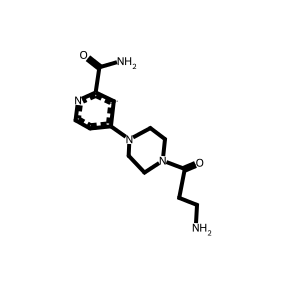 NCCC(=O)N1CCN(c2[c]c(C(N)=O)ncc2)CC1